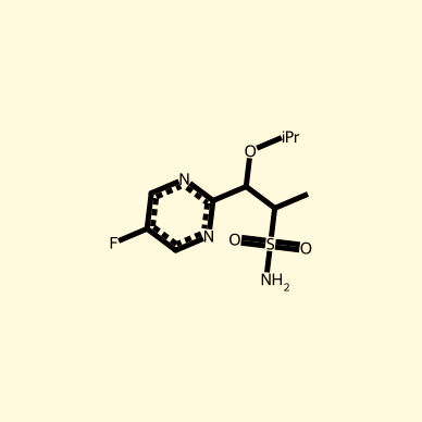 CC(C)OC(c1ncc(F)cn1)C(C)S(N)(=O)=O